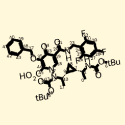 CC(NC(=O)OC(C)(C)C)[C@H]1C[C@H]1C(C)N(C(=O)OC(C)(C)C)n1cc(C(=O)NCc2c(F)cc(F)cc2F)c(=O)c(OCc2ccccc2)c1C(=O)O